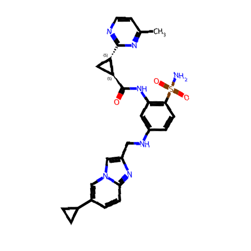 Cc1ccnc([C@H]2C[C@@H]2C(=O)Nc2cc(NCc3cn4cc(C5CC5)ccc4n3)ccc2S(N)(=O)=O)n1